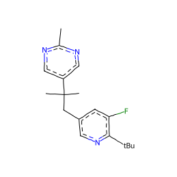 Cc1ncc(C(C)(C)Cc2cnc(C(C)(C)C)c(F)c2)cn1